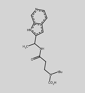 CC(NC(=O)CCN(C(=O)O)C(C)(C)C)c1cc2ccncc2[nH]1